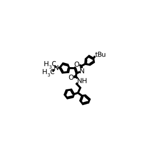 CN(C)c1ccc(-c2oc(-c3ccc(C(C)(C)C)cc3)nc2C(=O)NCCC(c2ccccc2)c2ccccc2)cc1